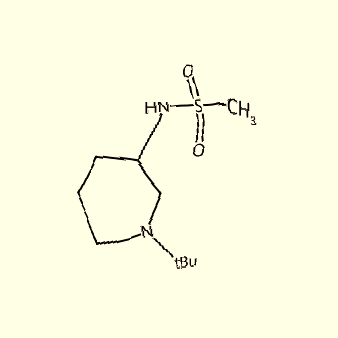 CC(C)(C)N1CCCC(NS(C)(=O)=O)C1